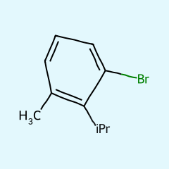 Cc1cccc(Br)c1C(C)C